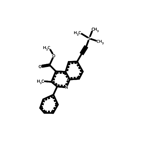 COC(=O)c1c(C)c(-c2ccccc2)nc2ccc(C#CS(C)(C)C)cc12